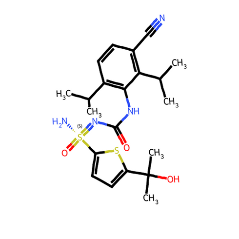 CC(C)c1ccc(C#N)c(C(C)C)c1NC(=O)N=[S@](N)(=O)c1ccc(C(C)(C)O)s1